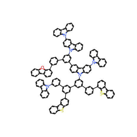 c1cc(-c2cc(-c3ccc4c(c3)c3cc(-n5c6ccccc6c6ccccc65)ccc3n4-c3cc(-c4cc(-c5cccc(-n6c7ccccc7c7ccccc76)c5)cc(-c5ccc6sc7ccccc7c6c5)c4)cc(-c4cccc(-c5cccc6c5sc5ccccc56)c4)c3)cc(-n3c4ccccc4c4cc(-n5c6ccccc6c6ccccc65)ccc43)c2)cc(-c2cccc3c2oc2ccccc23)c1